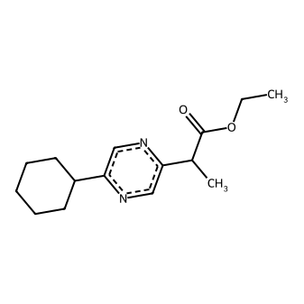 CCOC(=O)C(C)c1cnc(C2CCCCC2)cn1